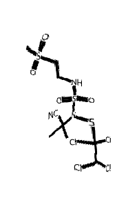 CC(C)(C#N)N(SC(Cl)(Cl)C(Cl)Cl)S(=O)(=O)NCCS(C)(=O)=O